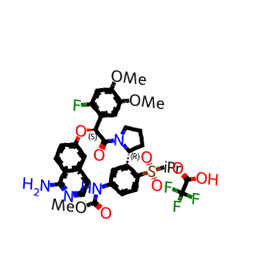 COC(=O)Nc1ccc(S(=O)(=O)C(C)C)c([C@H]2CCCN2C(=O)[C@@H](Oc2ccc3c(N)nccc3c2)c2cc(OC)c(OC)cc2F)c1.O=C(O)C(F)(F)F